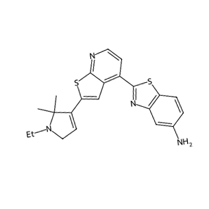 CCN1CC=C(c2cc3c(-c4nc5cc(N)ccc5s4)ccnc3s2)C1(C)C